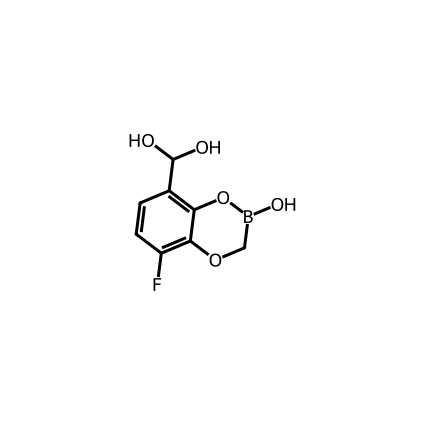 OB1COc2c(F)ccc(C(O)O)c2O1